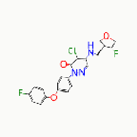 O=c1c(Cl)c(NC[C@H]2COC[C@@H]2F)cnn1-c1ccc(Oc2ccc(F)cc2)cc1